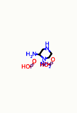 NC1CNCCN1N.O=PO.O=PO